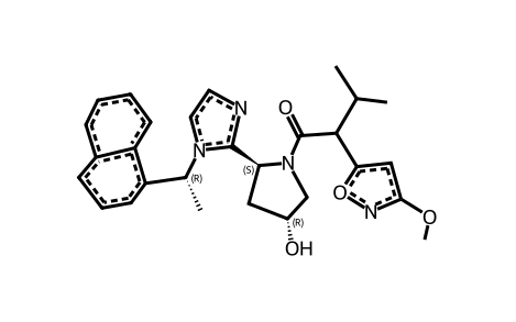 COc1cc(C(C(=O)N2C[C@H](O)C[C@H]2c2nccn2[C@H](C)c2cccc3ccccc23)C(C)C)on1